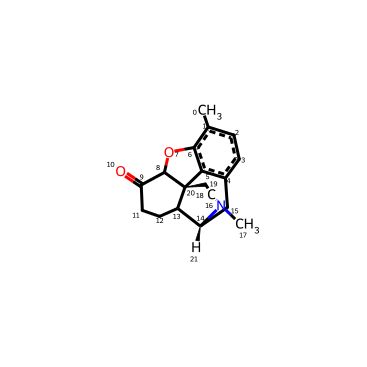 Cc1ccc2c3c1OC1C(=O)CCC4[C@@H](C2)N(C)CC[C@]314